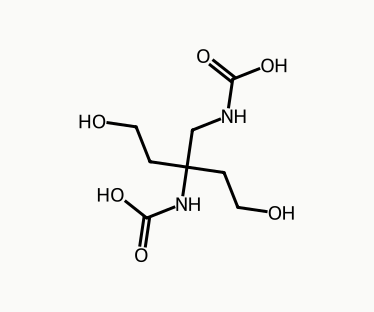 O=C(O)NCC(CCO)(CCO)NC(=O)O